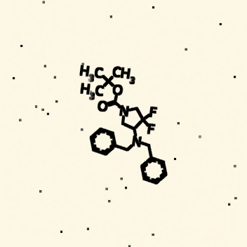 CC(C)(C)OC(=O)N1CC(N(Cc2ccccc2)Cc2ccccc2)C(F)(F)C1